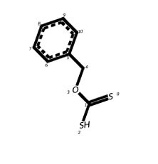 S=C(S)OCc1ccccc1